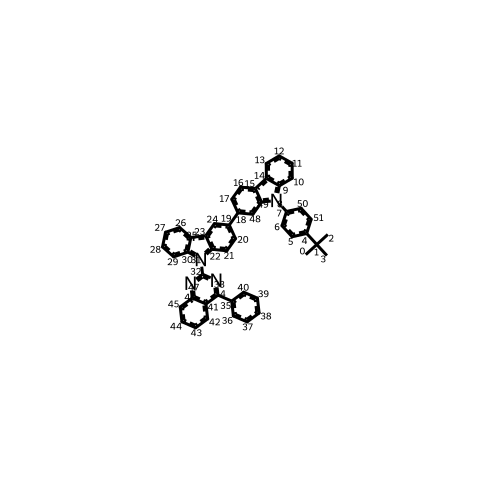 CC(C)(C)c1ccc(-n2c3ccccc3c3ccc(-c4ccc5c(c4)c4ccccc4n5-c4nc(-c5ccccc5)c5ccccc5n4)cc32)cc1